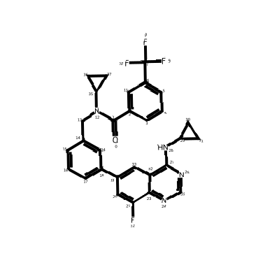 O=C(c1cccc(C(F)(F)F)c1)N(Cc1cccc(-c2cc(F)c3ncnc(NC4CC4)c3c2)c1)C1CC1